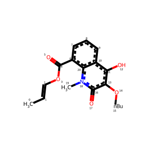 CC=COC(=O)c1cccc2c(O)c(OCCCC)c(=O)n(C)c12